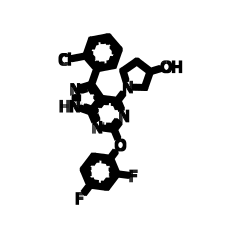 OC1CCN(c2nc(Oc3ccc(F)cc3F)nc3[nH]nc(-c4ccccc4Cl)c23)C1